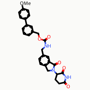 COc1ccc(-c2cccc(COC(=O)NCc3ccc4c(c3)C(=O)N(C3CCC(=O)NC3=O)C4)c2)cc1